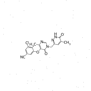 Cc1ncn(Cc2cc(C)c(=O)[nH]n2)c(=O)c1Oc1cc(Cl)cc(C#N)c1